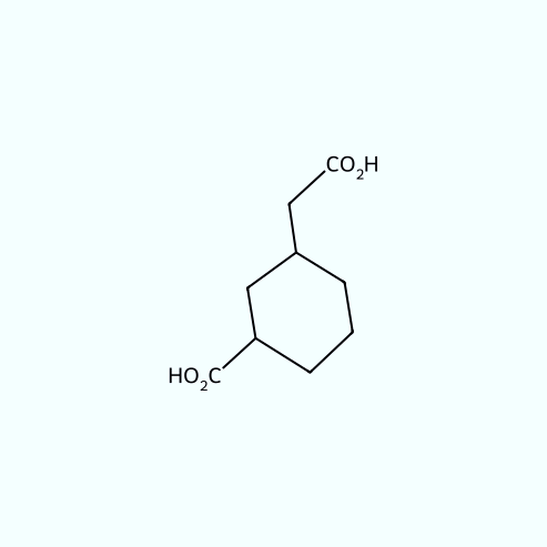 O=C(O)CC1CCCC(C(=O)O)C1